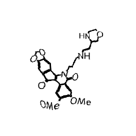 COc1cc2c3c(n(CCCNCCC4COCCN4)c(=O)c2cc1OC)-c1cc2c(cc1C3=O)OCO2